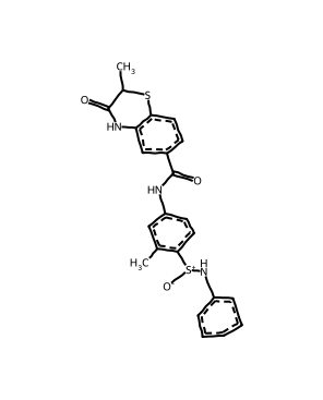 Cc1cc(NC(=O)c2ccc3c(c2)NC(=O)C(C)S3)ccc1[S+]([O-])Nc1ccccc1